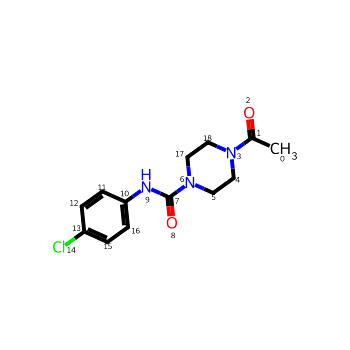 CC(=O)N1CCN(C(=O)Nc2ccc(Cl)cc2)CC1